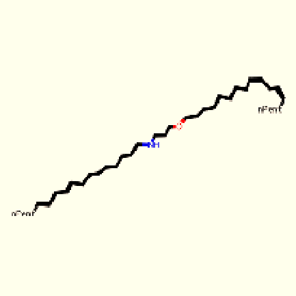 CCCCCC=CCC=CCCCCCCCCNCCCOCCCCCCCC/C=C\C/C=C\CCCCC